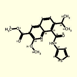 COC(=O)c1cc2ccc(C(C)C)c(C(=O)Nc3ccsc3)c2nc1OC